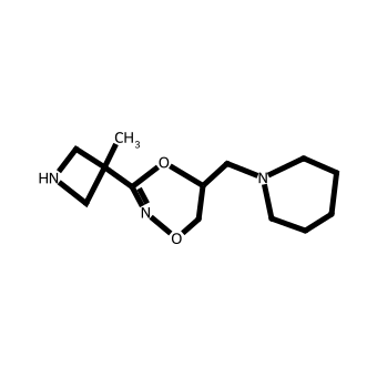 CC1(C2=NOCC(CN3CCCCC3)O2)CNC1